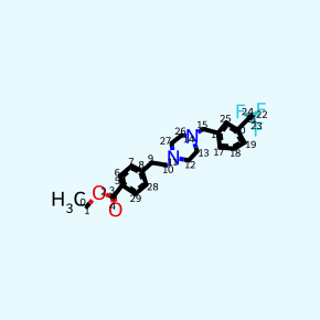 CCOC(=O)c1ccc(CCN2CCN(Cc3cccc(C(F)(F)F)c3)CC2)cc1